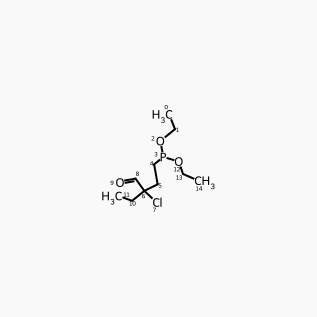 CCOP(CCC(Cl)(C=O)CC)OCC